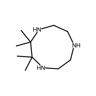 CC1(C)NCCNCCNC1(C)C